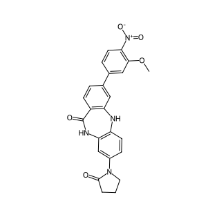 COc1cc(-c2ccc3c(c2)Nc2ccc(N4CCCC4=O)cc2NC3=O)ccc1[N+](=O)[O-]